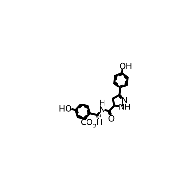 O=C(N[C@H](C(=O)O)c1ccc(O)cc1)C1CC(c2ccc(O)cc2)=NN1